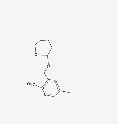 Cc1cnc(C=O)c(COC2CCCCO2)c1